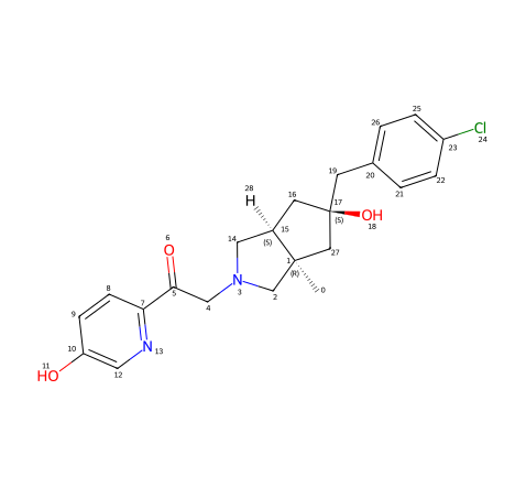 C[C@]12CN(CC(=O)c3ccc(O)cn3)C[C@H]1C[C@](O)(Cc1ccc(Cl)cc1)C2